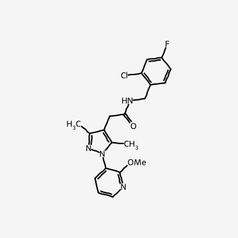 COc1ncccc1-n1nc(C)c(CC(=O)NCc2ccc(F)cc2Cl)c1C